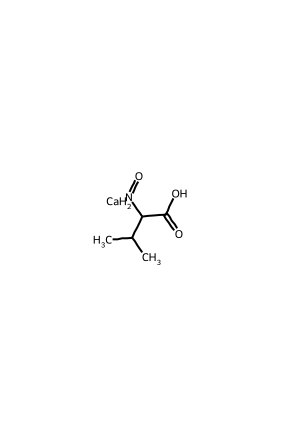 CC(C)C(N=O)C(=O)O.[CaH2]